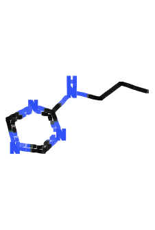 CCCNc1ncncn1